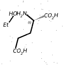 CCO.N[C@@H](CCC(=O)O)C(=O)O